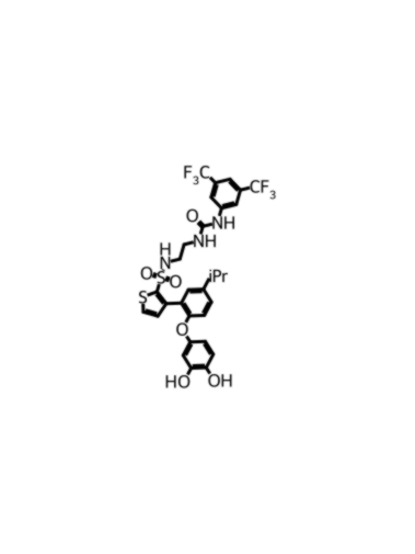 CC(C)c1ccc(Oc2ccc(O)c(O)c2)c(-c2ccsc2S(=O)(=O)NCCNC(=O)Nc2cc(C(F)(F)F)cc(C(F)(F)F)c2)c1